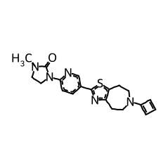 CN1CCN(c2ccc(-c3nc4c(s3)CCN(C3=CC=C3)CC4)cn2)C1=O